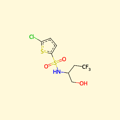 O=S(=O)(NC(CO)CC(F)(F)F)c1ccc(Cl)s1